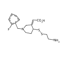 NCCSSC1CCN(Cc2ccccc2F)C/C1=C/C(=O)O